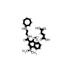 COc1c(C(=O)NCCNC2CCCCCC2)cc(N(C)C)c2ccccc12.O=C(O)C=CC(=O)O